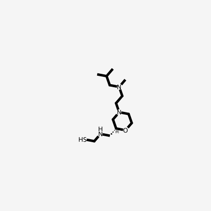 CC(C)CN(C)CCN1CCO[C@H](CNCS)C1